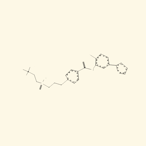 CC(C)(O)CCP(=O)(O)CCCc1ccc(C(=O)Nc2cc(-c3cccs3)ccc2N)cc1